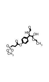 CCOC(O)C(NC=O)c1ccc(OC(=O)CCS(=O)(=O)OC)cc1